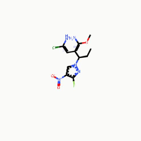 CCC(C(/C=C(\N)Cl)=C(/N)OC)n1cc([N+](=O)[O-])c(F)n1